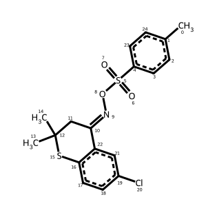 Cc1ccc(S(=O)(=O)O/N=C2\CC(C)(C)Sc3ccc(Cl)cc32)cc1